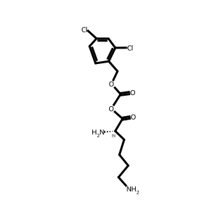 NCCCC[C@H](N)C(=O)OC(=O)OCc1ccc(Cl)cc1Cl